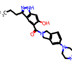 CN1CCN(c2ccc3c(c2)CN(C(=O)c2cc4c(CCC(F)(F)F)n[nH]c4cc2O)C3)CC1